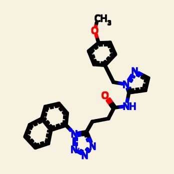 COc1ccc(Cn2nccc2NC(=O)CCc2nnnn2-c2cccc3ccccc23)cc1